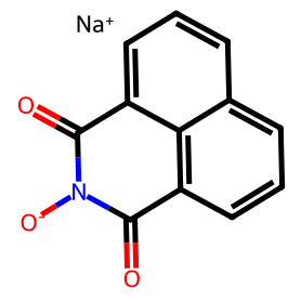 O=C1c2cccc3cccc(c23)C(=O)N1[O-].[Na+]